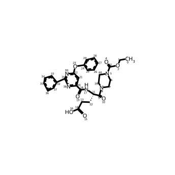 CCOC(=O)N1CCN(C(=O)[C@H](CCC(=O)O)NC(=O)c2cc(Oc3ccccc3)nc(-c3ccccc3)n2)CC1